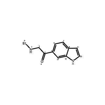 CCNCC(=O)c1ccc2ccsc2c1